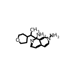 CC(C1CCOCC1)C1(N)N=CC=C2C=CN(N)C=C21